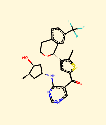 [CH2][C@@H]1C[C@@H](Nc2ncncc2C(=O)c2cc([C@@H]3OCCc4ccc(C(F)(F)F)cc43)c(C)s2)C[C@@H]1O